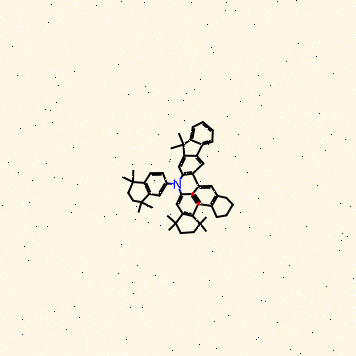 CC1(C)CCC(C)(C)c2cc(N(c3ccc4c(c3)C(C)(C)CCC4(C)C)c3cc4c(cc3-c3ccc5c(c3)CCCC5)-c3ccccc3C4(C)C)ccc21